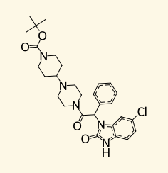 CC(C)(C)OC(=O)N1CCC(N2CCN(C(=O)C(c3ccccc3)n3c(=O)[nH]c4ccc(Cl)cc43)CC2)CC1